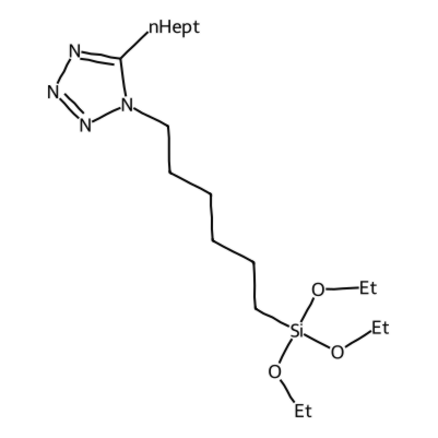 CCCCCCCc1nnnn1CCCCCC[Si](OCC)(OCC)OCC